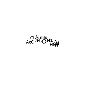 CCCCc1nc(Cl)c(COC(C)=O)n1Cc1ccc(-n2ccc(-c3nnn[nH]3)c2)cc1